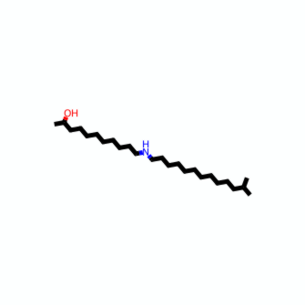 CC(C)CCCCCCCCCCCNCCCCCCCCCC(C)O